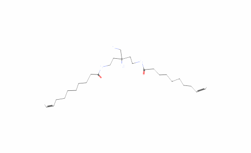 CCCCCCCC/C=C\CCCCCCCC(=O)NCCC(N)(CN)CCNC(=O)CCCCCCC/C=C\CCCCCCCC